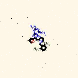 Cc1cccc(C)c1CN1CCCC1CC1(c2ccco2)N=C2N=C(N)N=C(N)N2N1